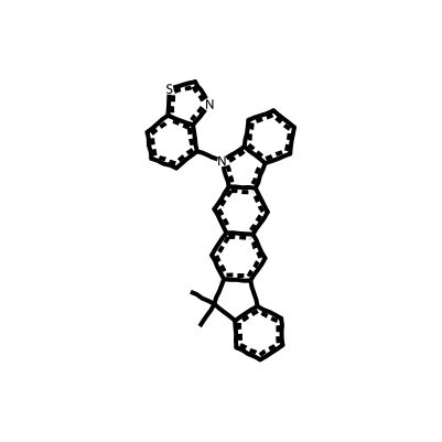 CC1(C)c2ccccc2-c2cc3cc4c5ccccc5n(-c5cccc6scnc56)c4cc3cc21